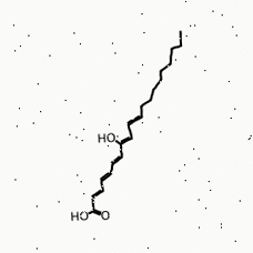 CCCCCCCCCC=CC=C(O)C=CC=CC=CC(=O)O